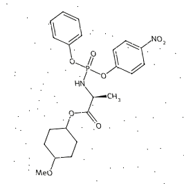 COC1CCC(OC(=O)[C@H](C)NP(=O)(Oc2ccccc2)Oc2ccc([N+](=O)[O-])cc2)CC1